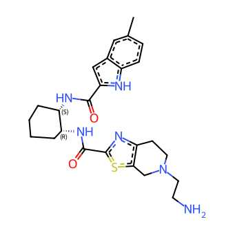 Cc1ccc2[nH]c(C(=O)N[C@H]3CCCC[C@H]3NC(=O)c3nc4c(s3)CN(CCN)CC4)cc2c1